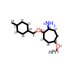 CCCOC1CCC(N)C(OCC2CCC(C)CC2)CC1